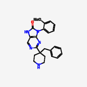 COc1ccccc1-n1c(=O)[nH]c2cnc(C3(Cc4ccccc4)CCNCC3)nc21